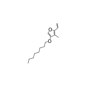 C=Cc1occ(OCCCCCCCC)c1C